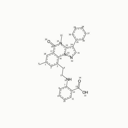 Cc1cc(CCNc2ccccc2C(=O)O)c2c(c1)c(=O)n(C)c1c(-c3ccccc3)cnn21